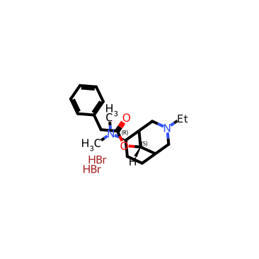 Br.Br.CCN1CC2CC[C@@H](N(C)C)C(C1)[C@H]2OC(=O)Cc1ccccc1